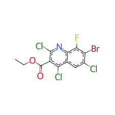 CCOC(=O)c1c(Cl)nc2c(F)c(Br)c(Cl)cc2c1Cl